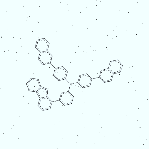 c1cc(-c2cccc3c2sc2ccccc23)cc(N(c2ccc(-c3ccc4ccccc4c3)cc2)c2ccc(-c3ccc4ccccc4c3)cc2)c1